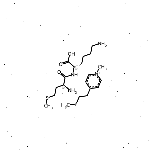 CCCCc1cc[n+](C)cc1.CSCC[C@H](N)C(=O)N[C@@H](CCCCN)C(=O)O